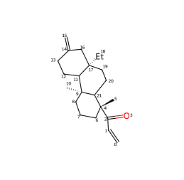 C=CC(=O)[C@]1(C)CCC[C@@]2(C)C3CCC(=C)C[C@@]3(CC)CCC21